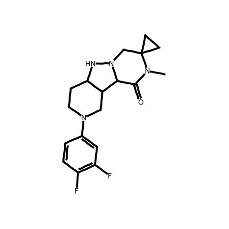 CN1C(=O)C2C3CN(c4ccc(F)c(F)c4)CCC3NN2CC12CC2